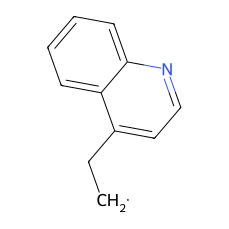 [CH2]Cc1ccnc2ccccc12